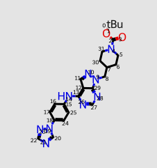 CC(C)(C)OC(=O)N1CCC(Cn2ncc3c(Nc4ccc(-n5cncn5)cc4)ncnc32)CC1